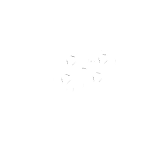 CCCCC(C=CCP(c1cc(C)cc(C)c1)c1cc(C)cc(C)c1)P(c1cc(C(F)(F)F)cc(C(F)(F)F)c1)c1cc(C(F)(F)F)cc(C(F)(F)F)c1